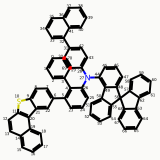 c1ccc(-c2c(-c3ccc4sc5ccc6ccccc6c5c4c3)cccc2N(c2ccc(-c3cccc4ccccc34)cc2)c2cccc3c2-c2ccccc2C32c3ccccc3-c3ccccc32)cc1